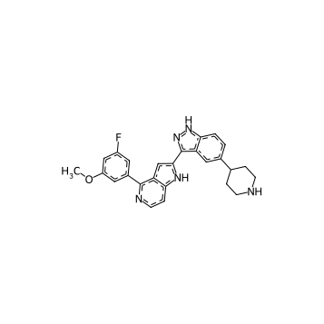 COc1cc(F)cc(-c2nccc3[nH]c(-c4n[nH]c5ccc(C6CCNCC6)cc45)cc23)c1